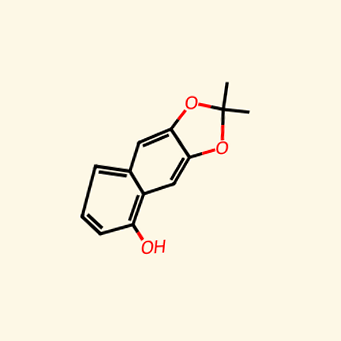 CC1(C)Oc2cc3cccc(O)c3cc2O1